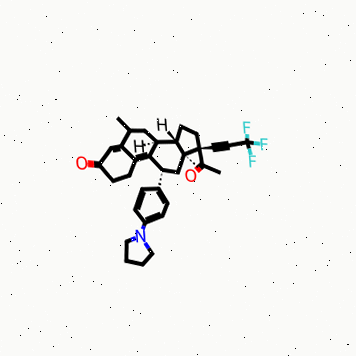 CC(=O)[C@@]1(C#CC(F)(F)F)CC[C@H]2[C@@H]3CC(C)C4=CC(=O)CCC4=C3[C@@H](c3ccc(N4CCCC4)cc3)C[C@@]21C